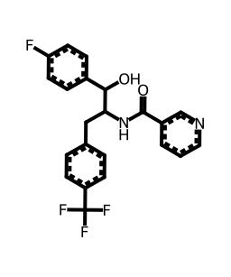 O=C(NC(Cc1ccc(C(F)(F)F)cc1)C(O)c1ccc(F)cc1)c1cccnc1